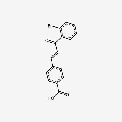 O=C(O)c1ccc(/C=C/C(=O)c2ccccc2Br)cc1